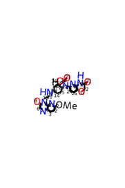 COc1ccc2ncc(=O)n(CCN[C@H]3CCC4[C@H](C3)OC(=O)N4c3ccc4c(n3)NC(=O)CO4)c2n1